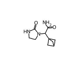 NC(=O)C(N1CCNC1=O)C12CC(C1)C2